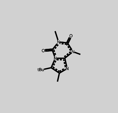 Cc1nc2n(C)c(=O)n(C)c(=O)n2c1C(C)(C)C